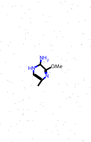 COC1=NC(C)=CNC1N